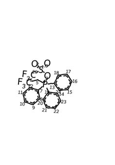 O=S(=O)(OP(CC(F)(F)F)(c1ccccc1)(c1ccccc1)c1ccccc1)C(F)(F)F